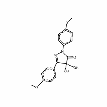 COc1ccc(C2=NN(c3ccc(OC)cc3)C(=O)C2(O)O)cc1